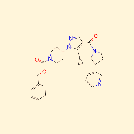 O=C(OCc1ccccc1)N1CCC(n2ncc(C(=O)N3CCC(c4cccnc4)C3)c2C2CC2)CC1